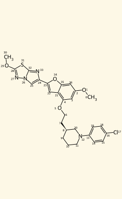 COc1cc(OCC[C@@H]2CCCN(c3ccc(Cl)cc3)C2)c2cc(-c3cn4nc(OC)sc4n3)oc2c1